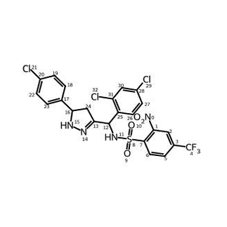 O=[N+]([O-])c1cc(C(F)(F)F)ccc1S(=O)(=O)NC(C1=NNC(c2ccc(Cl)cc2)C1)c1ccc(Cl)cc1Cl